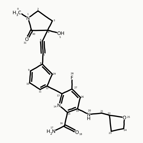 CN1CCC(O)(C#Cc2cccc(-c3nc(C(N)=O)c(NCC4CCO4)cc3F)c2)C1=O